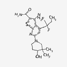 CCC(F)(F)c1cc(N2CCC(O)C(C)(C)C2)nc2sc(C(N)=O)c(N)c12